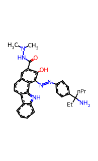 CCCC(N)(CC)c1ccc(N=Nc2c(O)c(C(=O)NN(C)C)cc3ccc4c5ccccc5[nH]c4c23)cc1